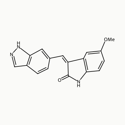 COc1ccc2c(c1)C(=Cc1ccc3cn[nH]c3c1)C(=O)N2